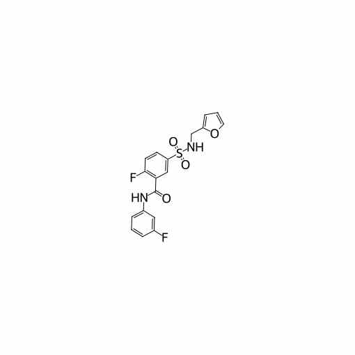 O=C(Nc1cccc(F)c1)c1cc(S(=O)(=O)NCc2ccco2)ccc1F